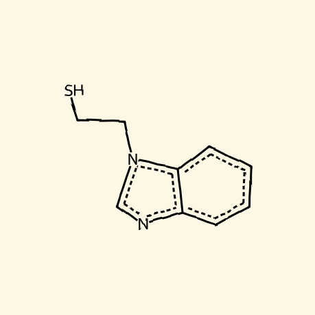 SCCn1cnc2ccccc21